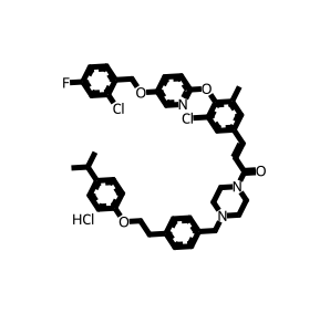 Cc1cc(/C=C/C(=O)N2CCN(Cc3ccc(CCOc4ccc(C(C)C)cc4)cc3)CC2)cc(Cl)c1Oc1ccc(OCc2ccc(F)cc2Cl)cn1.Cl